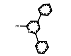 N#Cc1cc(-c2ccccc2)cc(-c2ccccc2)n1